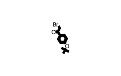 CC(C)(C)Oc1ccc(C(=O)CBr)cc1